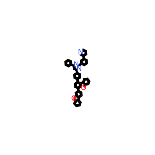 c1ccc(-c2cc(-c3ccc(-c4ccc(-c5ccc6c(c5)oc5ccccc56)c5oc6ccccc6c45)cc3)nc(-c3cccc(-c4cccnc4)c3)n2)cc1